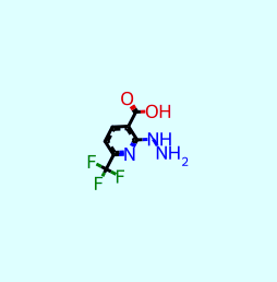 NNc1nc(C(F)(F)F)ccc1C(=O)O